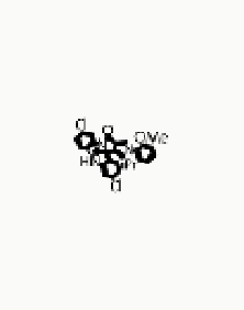 COc1ccccc1-n1cc2c(c1C(C)C)C1(C(=O)NC3=CC(Cl)CC=C31)N(c1cccc(Cl)c1)C2=O